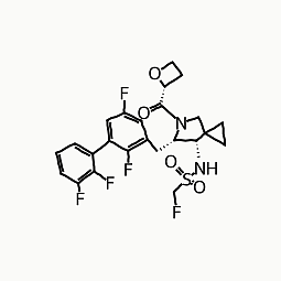 O=C([C@H]1CCO1)N1CC2(CC2)[C@H](NS(=O)(=O)CF)[C@@H]1Cc1cc(F)cc(-c2cccc(F)c2F)c1F